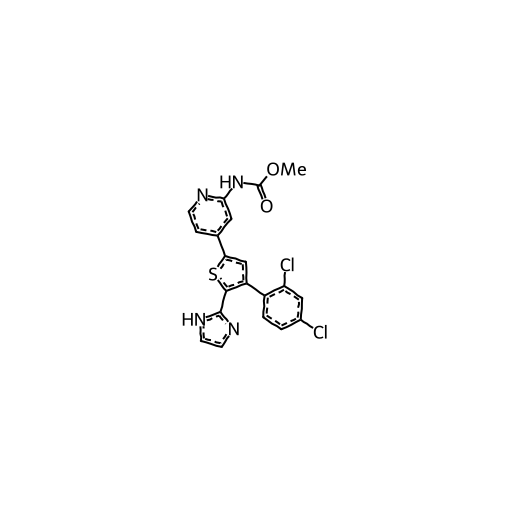 COC(=O)Nc1cc(-c2cc(-c3ccc(Cl)cc3Cl)c(-c3ncc[nH]3)s2)ccn1